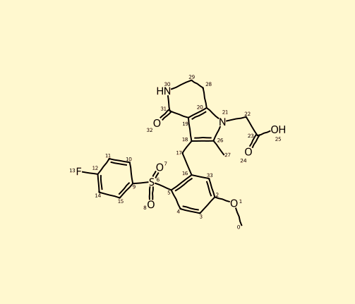 COc1ccc(S(=O)(=O)c2ccc(F)cc2)c(Cc2c3c(n(CC(=O)O)c2C)CCNC3=O)c1